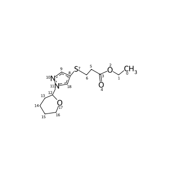 CCOC(=O)CCSc1cnn(C2CCCCO2)c1